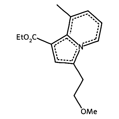 CCOC(=O)c1cc(CCOC)n2cccc(C)c12